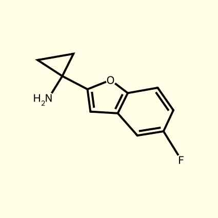 NC1(c2cc3cc(F)ccc3o2)CC1